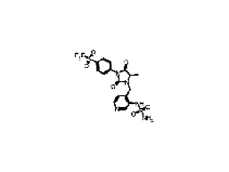 CC1C(=O)N(c2ccc(S(=O)(=O)C(F)(F)F)cc2)C(=O)N1Cc1ccncc1NS(N)(=O)=O